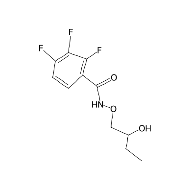 CCC(O)CONC(=O)c1ccc(F)c(F)c1F